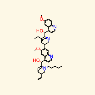 C=CC1C[N+]2(CCCCC)CCC1CC2[C@H](O)c1ccnc2cc(C3CN4CC(CC)C3CC4[C@H](O)c3ccnc4ccc(OC)cc34)c(OC)cc12